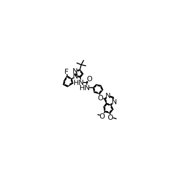 COc1cc2ncnc(Oc3cccc(NC(=O)Nc4cc(C(C)(C)C)nn4-c4ccccc4F)c3)c2cc1OC